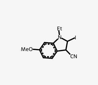 CCN1c2cc(OC)ccc2C(C#N)C1I